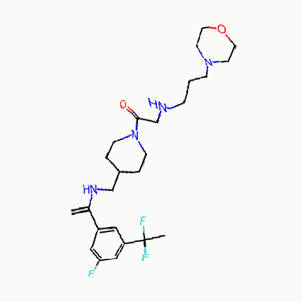 C=C(NCC1CCN(C(=O)CNCCCN2CCOCC2)CC1)c1cc(F)cc(C(C)(F)F)c1